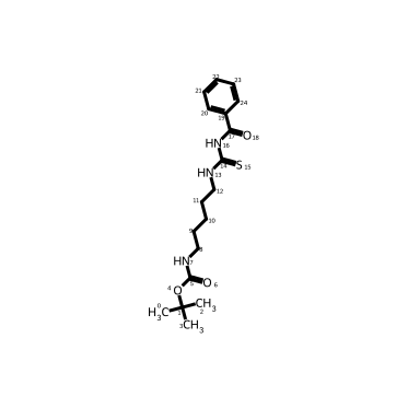 CC(C)(C)OC(=O)NCCCCCNC(=S)NC(=O)c1ccccc1